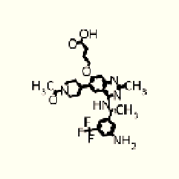 CC(=O)N1CCC(c2cc3c(N[C@H](C)c4cc(N)cc(C(F)(F)F)c4)nc(C)nc3cc2OCCCC(=O)O)CC1